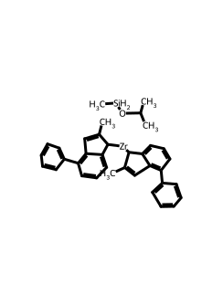 CC1=Cc2c(-c3ccccc3)cccc2[CH]1[Zr][CH]1C(C)=Cc2c(-c3ccccc3)cccc21.C[SiH2]OC(C)C